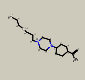 C=C(C(C)C)C1CCC(N2CCN(CCCCCCC(C)C)CC2)CC1